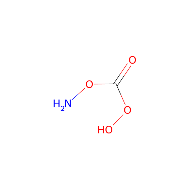 NOC(=O)OO